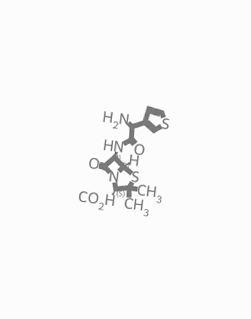 CC1(C)S[C@@H]2[C@H](NC(=O)C(N)c3ccsc3)C(=O)N2[C@H]1C(=O)O